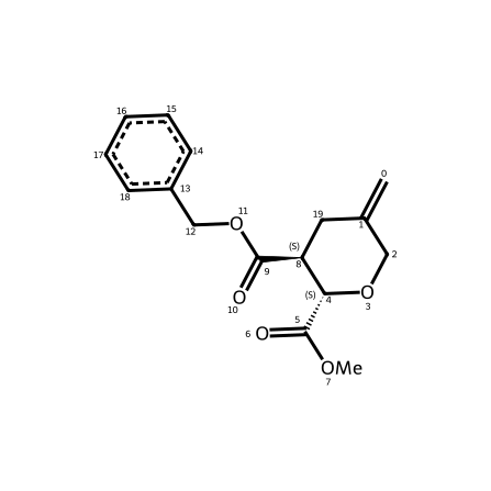 C=C1CO[C@H](C(=O)OC)[C@@H](C(=O)OCc2ccccc2)C1